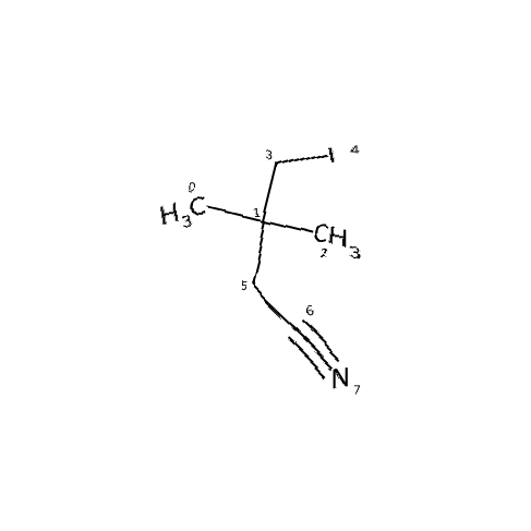 CC(C)(CI)CC#N